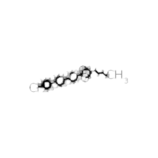 CCC/C=C/[C@H]1CO[C@H]([C@H]2CC[C@H]([C@H]3CC[C@H](c4ccc(Cl)cc4)CC3)CC2)OC1